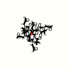 CC1(C)C(=O)N(CC(CC2CO2)C(OC(O)(C(CC2CO2)CN2C(=O)N(CC3CO3)C(C)(C)C2=O)N2C(=O)N(CC3CO3)C(C)(C)C2=O)N2C(=O)N(CC3CO3)C(C)(C)C2=O)C(=O)N1CC1CO1